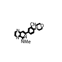 CNc1nc(-c2ccc(N3CCOCC3)c(C#N)c2)cc2nccnc12